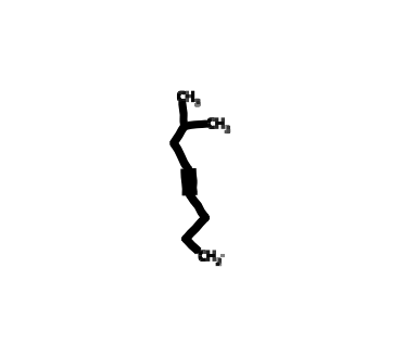 [CH2]CCC#CCC(C)C